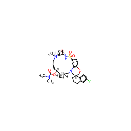 CCCN1CC=C[C@H](OC(=O)N(C)C)[C@@H]2CC[C@H]2CN2C[C@@]3(CCCc4cc(Cl)ccc43)COc3ccc(cc32)S(=O)(=O)NC(=O)C1(C)C